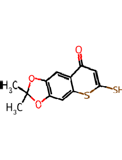 CC1(C)Oc2cc3sc(S)cc(=O)c3cc2O1